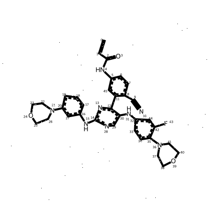 C=CC(=O)Nc1ccc(C#N)c(-c2nc(Nc3cccc(N4CCOCC4)c3)ncc2Nc2ccc(N3CCOCC3)c(F)c2)c1